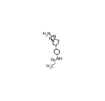 CCC(=O)Nc1ccc(-c2ccc3nc(N)nn3c2)cc1